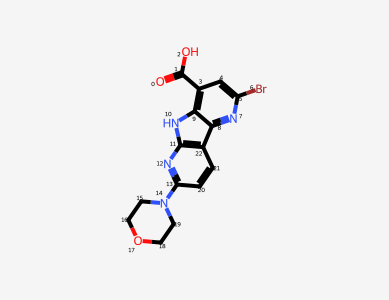 O=C(O)c1cc(Br)nc2c1[nH]c1nc(N3CCOCC3)ccc12